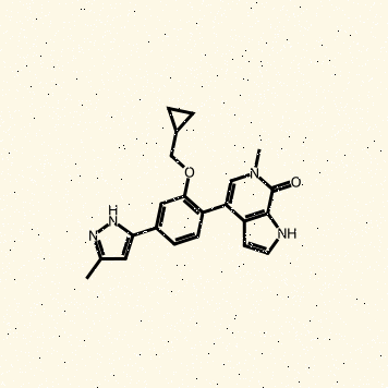 Cc1cc(-c2ccc(-c3cn(C)c(=O)c4[nH]ccc34)c(OCC3CC3)c2)[nH]n1